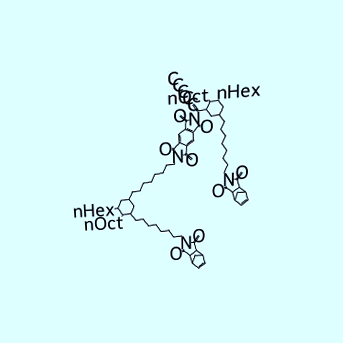 C=C=C=C=C=C=C(C1CC(CCCCCCCCN2C(=O)C3C4C=CC(C4)C3C2=O)CC(CCCCCC)C1CCCCCCCC)n1c(=O)c2cc3c(=O)n(CCCCCCCCC4CC(CCCCCC)C(CCCCCCCC)C(CCCCCCCCN5C(=O)C6C7C=CC(C7)C6C5=O)C4)c(=O)c3cc2c1=O